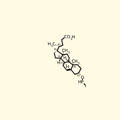 C[C@H](CCC(=O)O)[C@H]1CC[C@H]2[C@@H]3CC=C4C[C@@H](OPI)CC[C@]4(C)[C@H]3CC[C@]12C